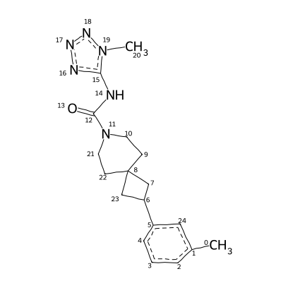 Cc1cccc(C2CC3(CCN(C(=O)Nc4nnnn4C)CC3)C2)c1